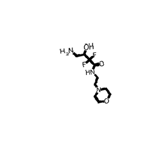 NCC(O)C(F)(F)C(=O)NCCN1CCOCC1